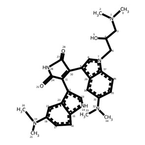 CN(C)CC(O)Cn1cc(C2=C(c3c[nH]c4ccc(N(C)C)cc34)C(=O)NC2=O)c2cc(N(C)C)ccc21